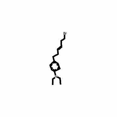 CCN(CC)c1ccc(CCC=CCCBr)cc1